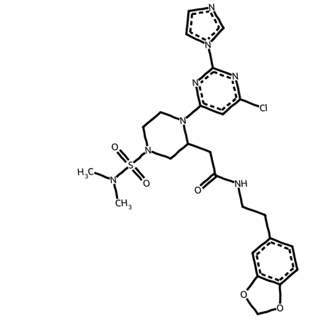 CN(C)S(=O)(=O)N1CCN(c2cc(Cl)nc(-n3ccnc3)n2)C(CC(=O)NCCc2ccc3c(c2)OCO3)C1